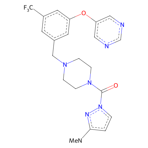 CNc1ccn(C(=O)N2CCN(Cc3cc(Oc4cncnc4)cc(C(F)(F)F)c3)CC2)n1